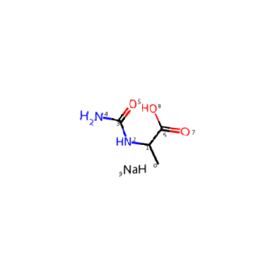 CC(NC(N)=O)C(=O)O.[NaH]